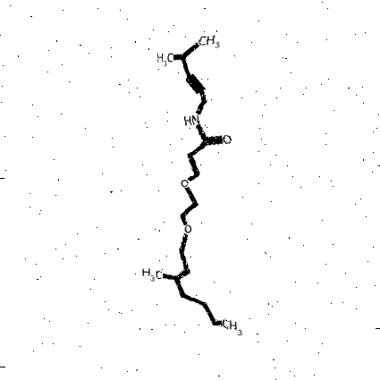 CCCCC(C)CCOCCOCCC(=O)NCC#CC(C)C